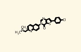 CN(C)Cc1ccc2cc(-n3cnc4cc(-c5ccc(Cl)cc5)sc4c3=O)ccc2n1